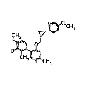 CCn1ccc(-c2cnc(C)nc2OC[C@H]2C[C@@H]2c2ccc(OC)cn2)c(C)c1=O